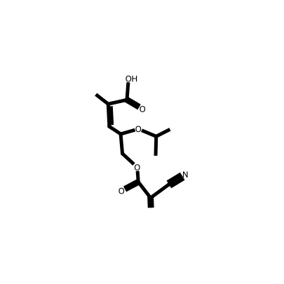 C=C(C#N)C(=O)OCC(C=C(C)C(=O)O)OC(C)C